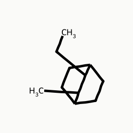 CCC1C2CCC(CC2)C1C